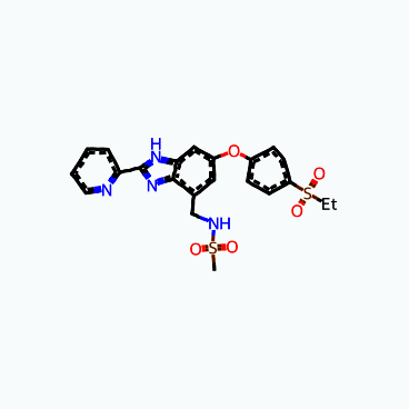 CCS(=O)(=O)c1ccc(Oc2cc(CNS(C)(=O)=O)c3nc(-c4ccccn4)[nH]c3c2)cc1